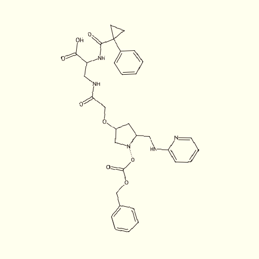 O=C(COC1CC(CNc2ccccn2)N(OC(=O)OCc2ccccc2)C1)NCC(NC(=O)C1(c2ccccc2)CC1)C(=O)O